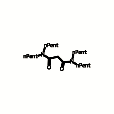 CCCCCN(CCCCC)C(=O)CC(=O)N(CCCCC)CCCCC